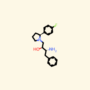 N[C@H](Cc1ccccc1)[C@@H](O)CN1CCC[C@H]1c1ccc(F)cc1